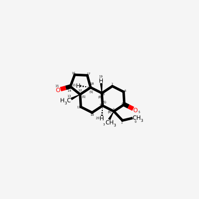 CC[C@@]1(C)C(=O)CC[C@@H]2[C@@H]1CC[C@]1(C)C(=O)CC[C@@H]21